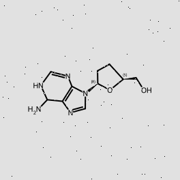 NC1NC=Nc2c1ncn2[C@H]1CC[C@@H](CO)O1